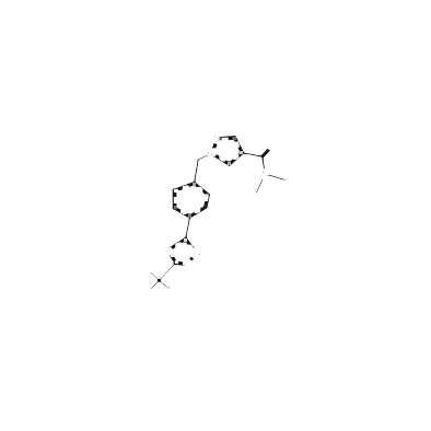 CN(C)C(=O)c1cnn(Cc2ccc(-c3noc(C(F)(F)F)n3)cc2)c1